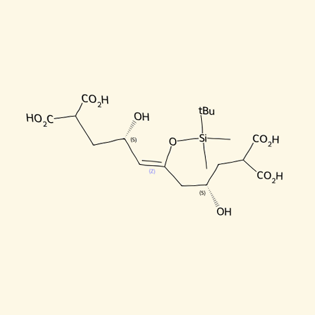 CC(C)(C)[Si](C)(C)O/C(=C\[C@@H](O)CC(C(=O)O)C(=O)O)C[C@@H](O)CC(C(=O)O)C(=O)O